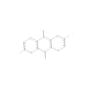 COc1ccc2c(C=O)c3cc(OC)ccc3c(C=O)c2c1